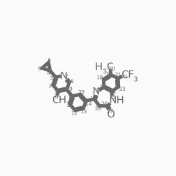 Cc1cc(C2CC2)ncc1-c1cccc(C2=Nc3cc(C)c(C(F)(F)F)cc3NC(=O)C2)c1